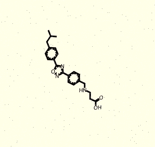 CC(C)Cc1ccc(-c2nc(-c3ccc(CNCCC(=O)O)cc3)no2)cc1